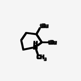 C[SiH]1CCCC(C(C)(C)C)C1C(C)(C)C